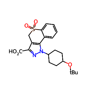 CC(C)(C)OC1CCC(n2nc(C(=O)O)c3c2-c2ccccc2S(=O)(=O)C3)CC1